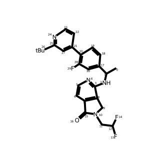 CC(Nc1nccc2c1CN(CC(F)F)C2=O)c1ccc(-c2ccnc(C(C)(C)C)c2)c(F)c1